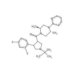 C[C@@H]1CN(C(=O)C2CN(C(C)(C)C)CC2c2ccc(F)cc2F)[C@@H](C)CN1c1ccccn1